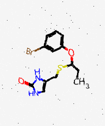 CCC(Oc1cccc(Br)c1)SCc1c[nH]c(=O)[nH]1